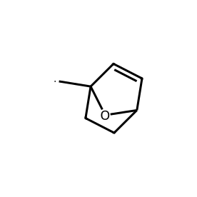 [CH2]C12C=CC(CC1)O2